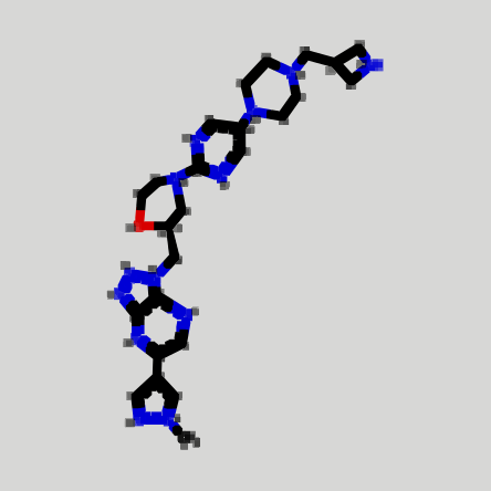 Cn1cc(-c2cnc3c(nnn3C[C@@H]3CN(c4ncc(N5CCN(CC6CNC6)CC5)cn4)CCO3)n2)cn1